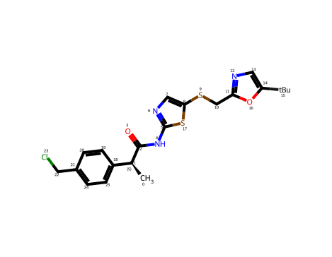 C[C@H](C(=O)Nc1ncc(SCc2ncc(C(C)(C)C)o2)s1)c1ccc(CCl)cc1